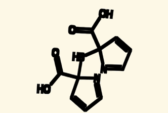 O=C(O)C1(BC2(C(=O)O)C=CC=N2)C=CC=N1